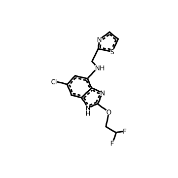 FC(F)COc1nc2c(NCc3nccs3)cc(Cl)cc2[nH]1